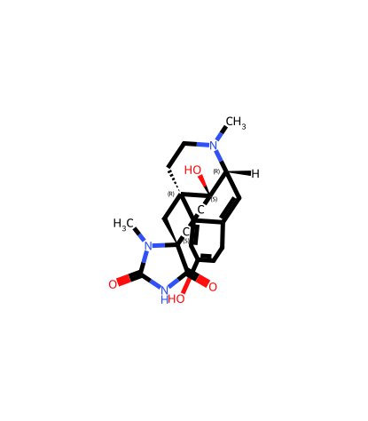 CN1CC[C@]23C[C@@]4(CC[C@@]2(O)[C@H]1C=C1CC=C(O)C=C13)C(=O)NC(=O)N4C